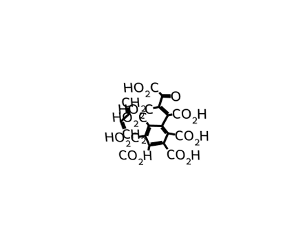 C=CC=C.O=C(O)C(=O)C(C(=O)O)=C(C(=O)O)c1c(C(=O)O)c(C(=O)O)c(C(=O)O)c(C(=O)O)c1C(=O)O